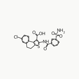 NS(=O)(=O)c1cccc(C(=O)Nc2sc3c(c2C(=O)O)-c2ccc(Cl)cc2CC3)c1